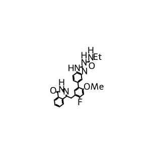 CCNC(=O)Nc1nc2cc(-c3cc(Cc4n[nH]c(=O)c5ccccc45)c(F)cc3OC)ccc2[nH]1